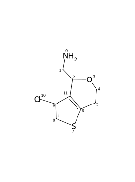 NCC1OCCc2scc(Cl)c21